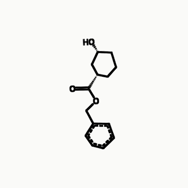 O=C(OCc1ccccc1)[C@H]1CCC[C@@H](O)C1